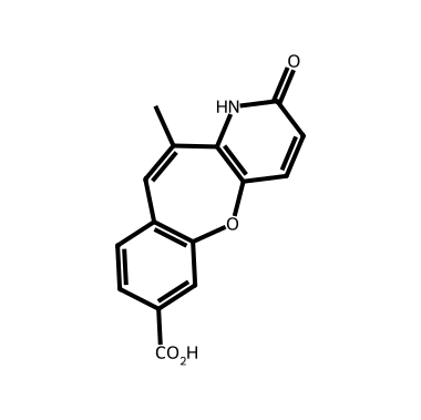 CC1=Cc2ccc(C(=O)O)cc2Oc2ccc(=O)[nH]c21